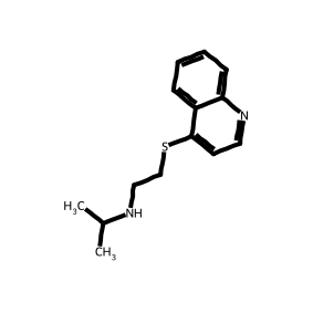 CC(C)NCCSc1ccnc2ccccc12